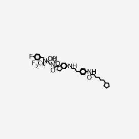 C[C@H](N(Cc1ccc(F)cc1)C(O)CN1C(=O)O[C@@]2(CCc3cc(NCCCc4ccc(NC(=O)CCCCCC5CCCC5)cc4)ccc32)C1=O)C(F)(F)F